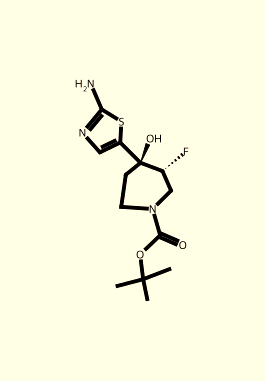 CC(C)(C)OC(=O)N1CC[C@](O)(c2cnc(N)s2)[C@H](F)C1